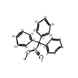 COS(=O)C(c1ccccc1)(c1ccccc1)c1ccccc1